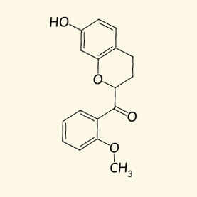 COc1ccccc1C(=O)C1CCc2ccc(O)cc2O1